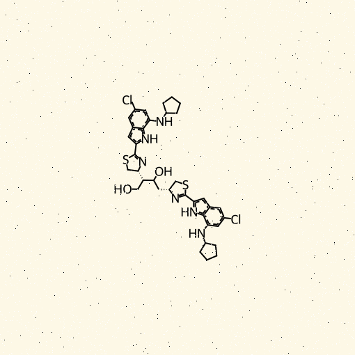 OCC(C(O)C[C@@H]1CSC(c2cc3cc(Cl)cc(NC4CCCC4)c3[nH]2)=N1)[C@@H]1CSC(c2cc3cc(Cl)cc(NC4CCCC4)c3[nH]2)=N1